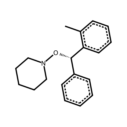 Cc1ccccc1[C@@H](ON1CCCCC1)c1ccccc1